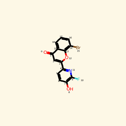 O=c1cc(-c2ccc(O)c(F)n2)oc2c(Br)cccc12